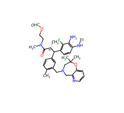 CCNc1ccc(C(c2ccc(C)c(CN3Cc4ncccc4OC(C)(C)C3)c2)[C@@H](C)C(=O)N(C)CCOC=O)c(F)c1N